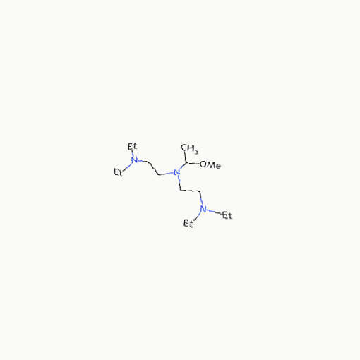 CCN(CC)CCN(CCN(CC)CC)C(C)OC